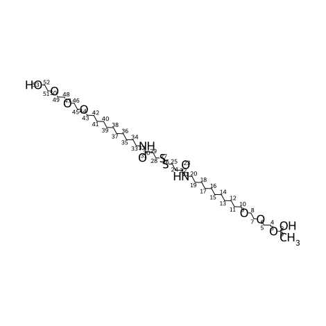 CC(O)OCCOCCOCCCCCCCCCCCNC(=O)CCSSCCC(=O)NCCCCCCCCCCCOCCOCCOCCO